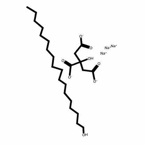 CCCCCCCCCCCCCCCCCCO.O=C([O-])CC(O)(CC(=O)[O-])C(=O)[O-].[Na+].[Na+].[Na+]